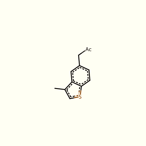 CC(=O)Cc1ccc2scc(C)c2c1